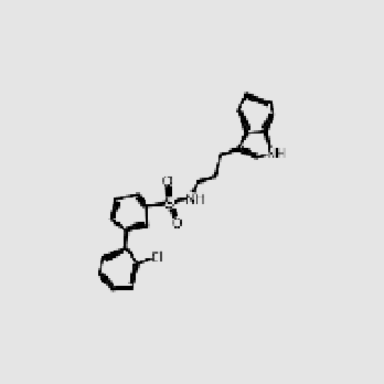 O=S(=O)(NCCCc1c[nH]c2ccccc12)c1cccc(-c2ccccc2Cl)c1